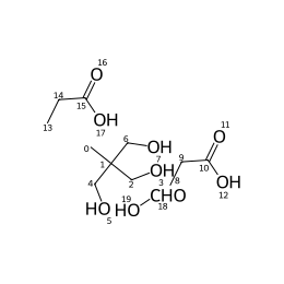 CC(CO)(CO)CO.CCC(=O)O.CCC(=O)O.O=CO